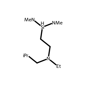 CCN(CC[SiH](NC)NC)CC(C)C